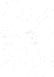 Cc1cc(Cn2nnn(C(C)c3ccc(Cl)cc3)c2=O)ccc1N